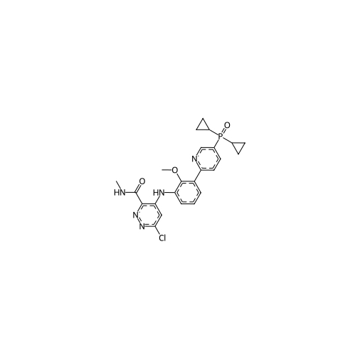 CNC(=O)c1nnc(Cl)cc1Nc1cccc(-c2ccc(P(=O)(C3CC3)C3CC3)cn2)c1OC